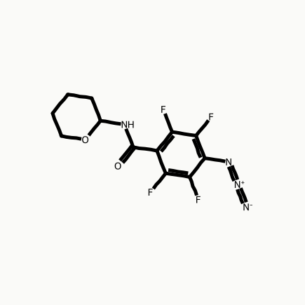 [N-]=[N+]=Nc1c(F)c(F)c(C(=O)NC2CCCCO2)c(F)c1F